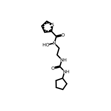 O=C(NCCN(O)C(=O)c1cccs1)NC1CCCC1